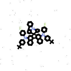 CC(C)(C)c1ccc(N(c2ccc(F)cc2)c2cc3c(c4ccccc24)-c2c(cc(N(c4ccc(F)cc4)c4ccc(C(C)(C)C)cc4)c4ccccc24)C32c3ccccc3-n3c4ccccc4c4cccc2c43)cc1